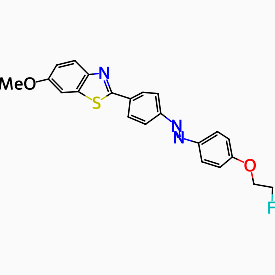 COc1ccc2nc(-c3ccc(N=Nc4ccc(OCCF)cc4)cc3)sc2c1